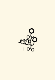 CC(C)C[C@H](CN[C@@H](Cc1cccnc1)C(=O)O)NC(=O)OCc1ccccc1